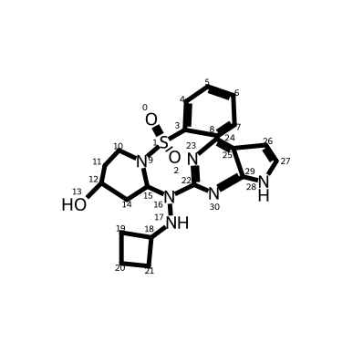 O=S(=O)(c1ccccc1)N1CCC(O)CC1N(NC1CCC1)c1ncc2cc[nH]c2n1